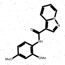 COc1ccc(NC(=O)c2cnn3ccccc23)c(OC)c1